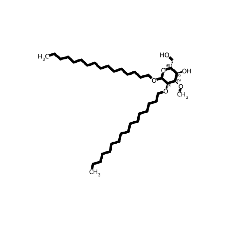 CCCCCCCCCCCCCCCCOC1O[C@H](CO)[C@@H](O)[C@H](OC)[C@H]1OCCCCCCCCCCCCCCCC